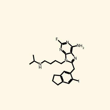 CC(C)NCCCCn1c(Cc2cc3c(cc2I)CCC3)nc2c(N)nc(F)nc21